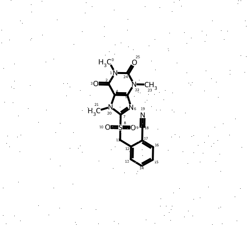 Cn1c(=O)c2c(nc(S(=O)(=O)Cc3ccccc3C#N)n2C)n(C)c1=O